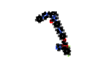 CC(CN1CCN(c2ccccc2)CC1)Cn1ncn(-c2ccc(N3CCN(c4ccc(OCC5COC(Cn6cncn6)(c6ccc(F)cc6F)O5)cc4)CC3)cc2)c1=O